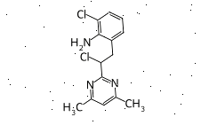 Cc1cc(C)nc(C(Cl)Cc2cccc(Cl)c2N)n1